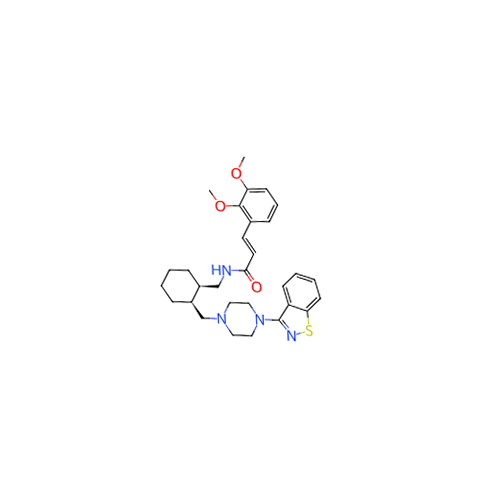 COc1cccc(/C=C/C(=O)NC[C@@H]2CCCC[C@@H]2CN2CCN(c3nsc4ccccc34)CC2)c1OC